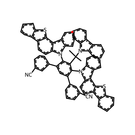 CC(C)(c1c(-n2c3ccccc3c3c4sc5ccccc5c4ccc32)c(-c2cccc(C#N)c2)cc(-c2cccc(C#N)c2)c1-n1c2ccccc2c2c3sc4ccccc4c3ccc21)n1c2ccccc2c2ccccc21